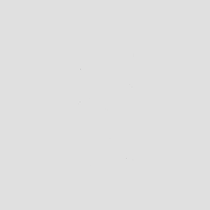 C1CC2CCC1CC2C1CC1